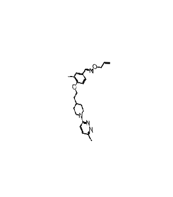 C=CCON=Cc1ccc(OCCC2CCN(c3ccc(C)nn3)CC2)c(C)c1